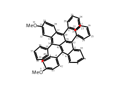 COc1ccc(-c2c3ccccc3c(-c3ccccc3)c3c(-c4ccccc4)c4ccc(OC)cc4c(-c4ccccc4)c23)cc1